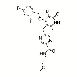 COCCNC(=O)c1cnc(Cc2c(C)[nH]c(=O)c(Br)c2OCc2ccc(F)cc2F)cn1